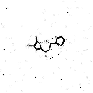 CC[C@H](N[C@H](CC)c1cc(C(C)C)c(C)o1)c1ccccc1